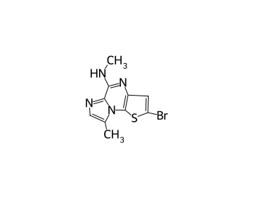 CNc1nc2cc(Br)sc2n2c(C)cnc12